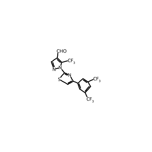 O=Cc1cnn(-c2nc(-c3cc(C(F)(F)F)cc(C(F)(F)F)c3)cs2)c1C(F)(F)F